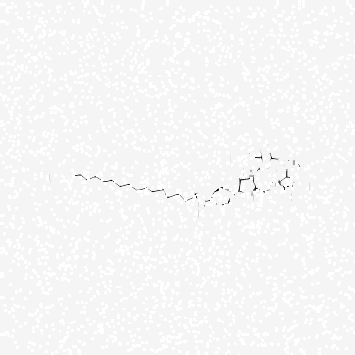 CCCCCCCCCCCCCCCC(=O)Nc1ccn([C@@H]2O[C@@H]3CO[Si](C(C)C)(C(C)C)O[Si](C(C)C)(C(C)C)O[C@H]3[C@H]2O)c(=O)n1